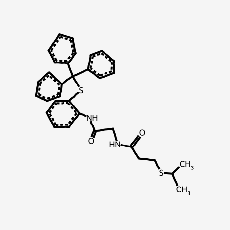 CC(C)SCCC(=O)NCC(=O)Nc1ccccc1SC(c1ccccc1)(c1ccccc1)c1ccccc1